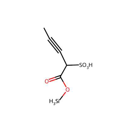 CC#CC(C(=O)O[SiH3])S(=O)(=O)O